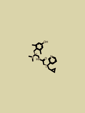 Cc1cc(O)cc(C)c1C[C@@H](CNC(=O)C[C@H](CC1CC1)c1cccnc1)N(C)C